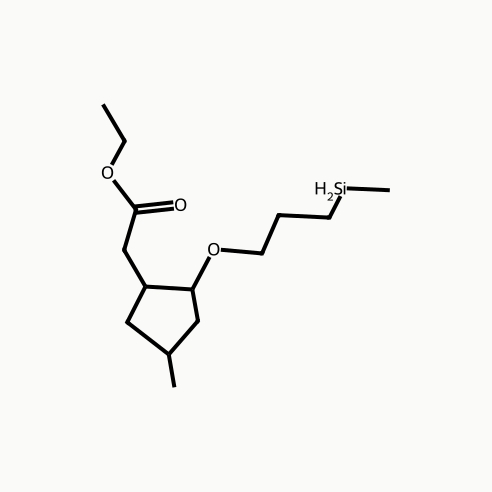 CCOC(=O)CC1CC(C)CC1OCCC[SiH2]C